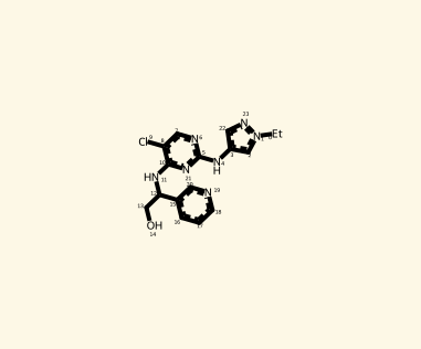 CCn1cc(Nc2ncc(Cl)c(NC(CO)c3cccnc3)n2)cn1